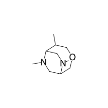 CC1COCC2CN(C)C1CN2C